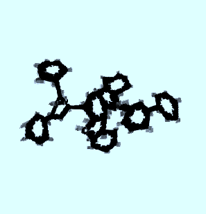 C1=C(c2cc3c4ccccc4n(-c4cccc(-c5ccccc5)c4)c3c3c2oc2ccccc23)N2C(c3ccccc3)N2C1c1ccccc1